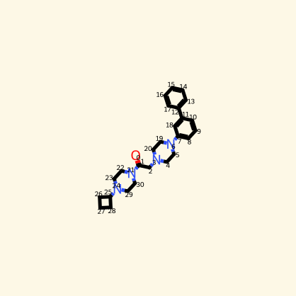 O=C(CN1CCN(c2cccc(-c3ccccc3)c2)CC1)N1CCN(C2CCC2)CC1